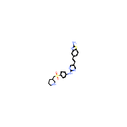 Nc1nc2cc(/C=C/c3cnc(Nc4ccc(S(=O)(=O)CC5CCCNC5)cc4)nc3)ccc2s1